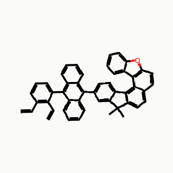 C=Cc1cccc(-c2c3ccccc3c(-c3ccc4c(c3)C(C)(C)c3ccc5ccc6oc7ccccc7c6c5c3-4)c3ccccc23)c1C=C